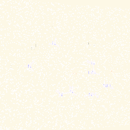 CN1C2=CC(=O)/C(=N/NC(N)=O)C=C2CC1S(=O)(=O)O.CN1C2=CC(=O)/C(=N\NC(N)=O)C=C2CC1S(=O)(=O)O.[NaH]